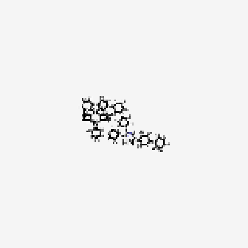 N=C(/C=C(\Cc1ccccc1)c1ccc(-c2cccc(-c3ccc4c(c3)C3(C5=C4C=CCN5)c4ccccc4N(c4ccccc4)c4ccccc43)c2)cc1)c1ccc(-c2ccccc2)cc1